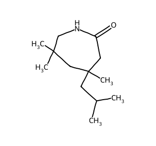 CC(C)CC1(C)CC(=O)NCC(C)(C)C1